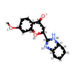 COc1ccc2c(=O)cc(-c3nc4ccccc4[nH]3)oc2c1